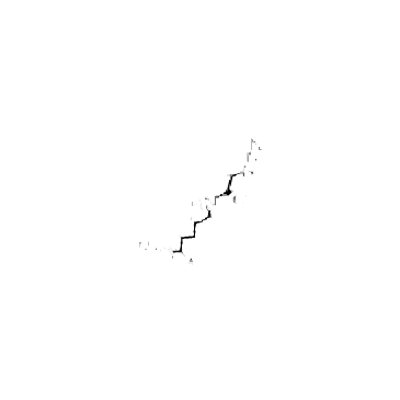 CNC(CCCCNC(=O)CN=[N+]=[N-])C(C)=O